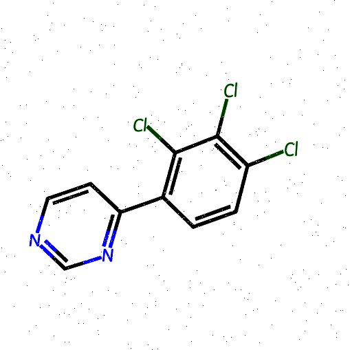 Clc1ccc(-c2ccncn2)c(Cl)c1Cl